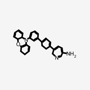 NC1=CC=C(C2=CC=C(c3cccc(N4C5=C(CCC=C5)OC5C=CC=CC54)c3)CC2)CN=C1